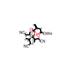 C=C(CC(=O)OC)C(=O)O[Si](C(C)CC#N)(C(C)CC#N)C(C)CC#N